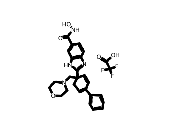 O=C(NO)c1ccc2nc(C3(CN4CCOCC4)C=CC(c4ccccc4)=CC3)[nH]c2c1.O=C(O)C(F)(F)F